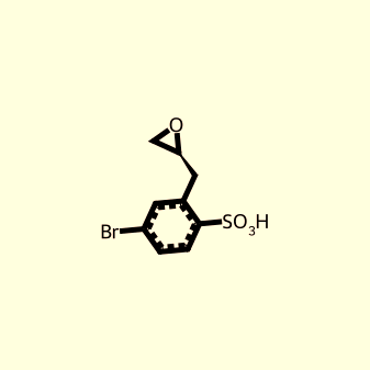 O=S(=O)(O)c1ccc(Br)cc1C[C@H]1CO1